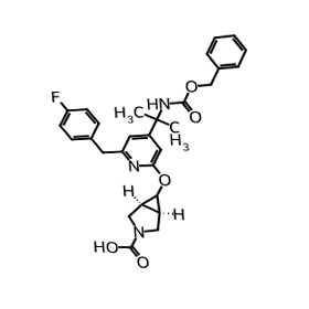 CC(C)(NC(=O)OCc1ccccc1)c1cc(Cc2ccc(F)cc2)nc(OC2[C@H]3CN(C(=O)O)C[C@@H]23)c1